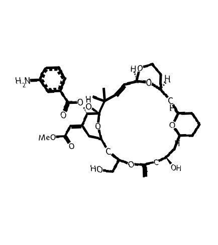 C=C1C[C@H](O)C[C@@H]2CCC[C@H](C[C@@H]3CCO[C@H](/C=C/C(C)(C)[C@]4(O)OC(C/C(=C\C(=O)OC)[C@@H]4OC(=O)c4cccc(N)c4)CC(CO)O1)O3)O2